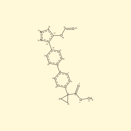 COC(=O)C1(c2ccc(-c3ccc(-c4nnsc4OC=O)cc3)cc2)CC1